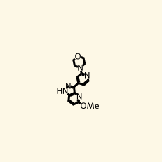 COc1ccc2[nH]nc(-c3ccnc(N4CCOCC4)c3)c2n1